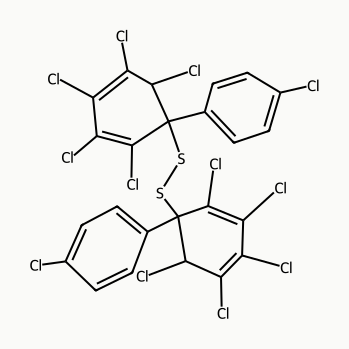 ClC1=C(Cl)C(Cl)C(SSC2(c3ccc(Cl)cc3)C(Cl)=C(Cl)C(Cl)=C(Cl)C2Cl)(c2ccc(Cl)cc2)C(Cl)=C1Cl